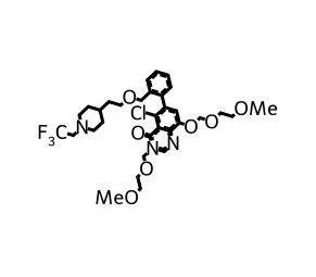 COCCOCOc1cc(-c2ccccc2COCCC2CCN(CC(F)(F)F)CC2)c(Cl)c2c(=O)n(COCCOC)cnc12